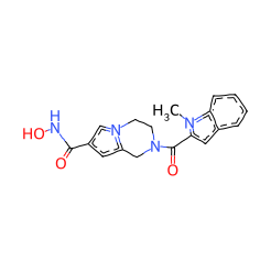 Cn1c(C(=O)N2CCn3cc(C(=O)NO)cc3C2)cc2ccccc21